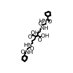 O=C(CNC(=O)c1ccccc1)NCCC/C(C(=O)O)=C(/CCCNC(=O)CNC(=O)c1ccccc1)C(=O)O